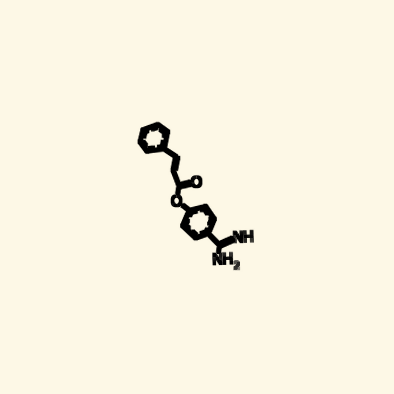 N=C(N)c1ccc(OC(=O)/C=C/c2ccccc2)cc1